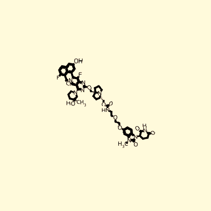 C#Cc1c(F)ccc2cc(O)cc(-c3ncc4c(N5CCC[C@@](C)(O)C5)nc(OC[C@@]56CCCN5[C@H](COC(=O)NCCOCCOc5ccc7c(c5)n(C)c(=O)n7C5CCC(=O)NC5=O)CC6)nc4c3F)c12